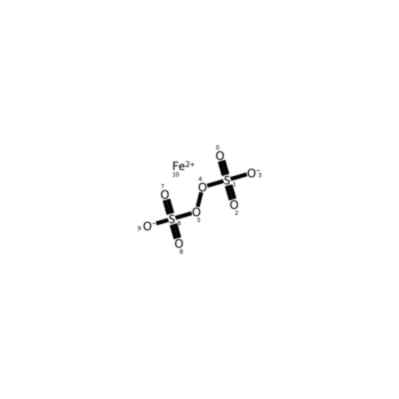 O=S(=O)([O-])OOS(=O)(=O)[O-].[Fe+2]